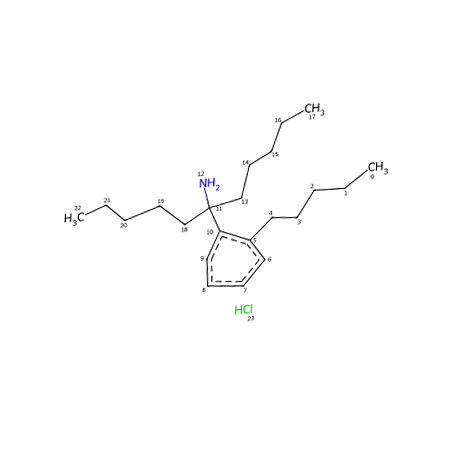 CCCCCc1ccccc1C(N)(CCCCC)CCCCC.Cl